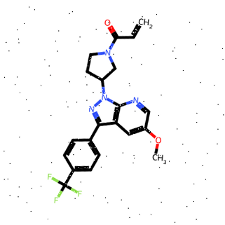 C=CC(=O)N1CCC(n2nc(-c3ccc(C(F)(F)F)cc3)c3cc(OC)cnc32)C1